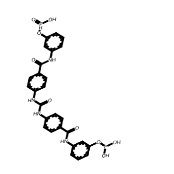 O=C(Nc1ccc(C(=O)Nc2cccc(OP(O)O)c2)cc1)Nc1ccc(C(=O)Nc2cccc(O[PH](=O)O)c2)cc1